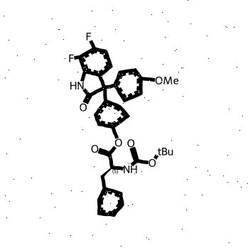 COc1ccc(C2(c3ccc(OC(=O)[C@H](Cc4ccccc4)NC(=O)OC(C)(C)C)cc3)C(=O)Nc3c2ccc(F)c3F)cc1